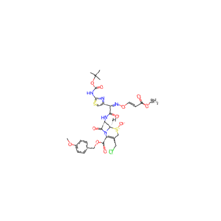 BOC(=O)/C=C/O/N=C(\C(=O)N[C@@H]1C(=O)N2C(C(=O)OCc3ccc(OC)cc3)=C(CCl)C[S+]([O-])[C@H]12)c1csc(NC(=O)OC(C)(C)C)n1